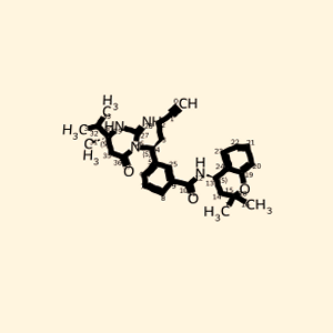 C#CCC[C@@H](c1cccc(C(=O)N[C@H]2CC(C)(C)Oc3ccccc32)c1)N1C(=N)N[C@](C)(C(C)C)CC1=O